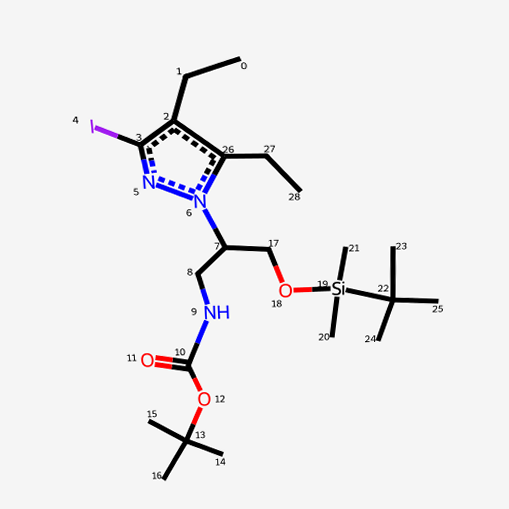 CCc1c(I)nn(C(CNC(=O)OC(C)(C)C)CO[Si](C)(C)C(C)(C)C)c1CC